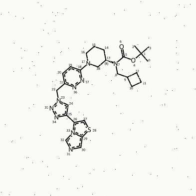 CC(C)(C)OC(=O)N(CC1CCC1)[C@@H]1CCCN(c2ccc(Cn3cc(-c4csc5cncn45)nn3)nn2)C1